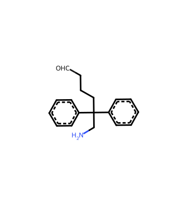 NCC(CCCC=O)(c1ccccc1)c1ccccc1